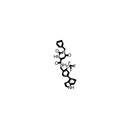 O=C(NCc1ccc(-c2cccc3[nH]ccc23)cc1OC(F)(F)F)c1cc(=O)n(Cc2ccccc2)c(=O)[nH]1